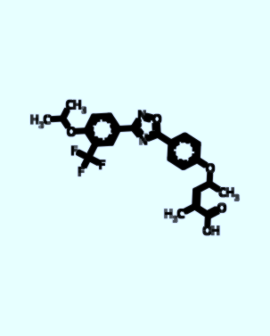 CC(=CC(C)Oc1ccc(-c2nc(-c3ccc(OC(C)C)c(C(F)(F)F)c3)no2)cc1)C(=O)O